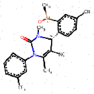 [C-]#[N+]C1=C(C)N(c2cccc(C(F)(F)F)c2)C(=O)N(C)[C@@H]1c1ccc(C#N)cc1[S@+](C)[O-]